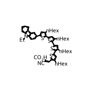 CCCCCCc1cc(-c2sc(-c3sc(-c4sc(-c5ccc6c(c5)c5ccccc5n6CC)cc4CCCCCC)cc3CCCCCC)cc2CCCCCC)sc1C=C(C#N)C(=O)O